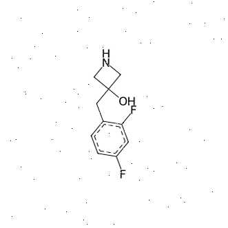 OC1(Cc2ccc(F)cc2F)CNC1